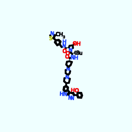 Cc1ncsc1-c1ccc(CNC(=O)[C@@H]2C[C@@H](O)CN2C(=O)[C@@H](NC(=O)[C@H]2CC[C@@H](N3CCC(N4CCC(c5ccc6[nH]c7nnc(-c8ccccc8O)cc7c6c5)CC4)CC3)CC2)C(C)(C)C)cc1